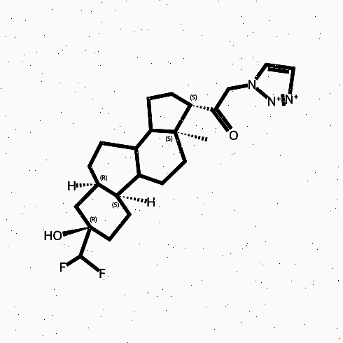 C[C@]12CCC3C(CC[C@@H]4C[C@@](O)(C(F)F)CC[C@H]34)C1CC[C@@H]2C(=O)Cn1cc[n+]#[n+]1